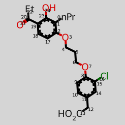 CCCc1c(OCCCOc2ccc(CC(=O)O)cc2Cl)ccc(C(=O)CC)c1O